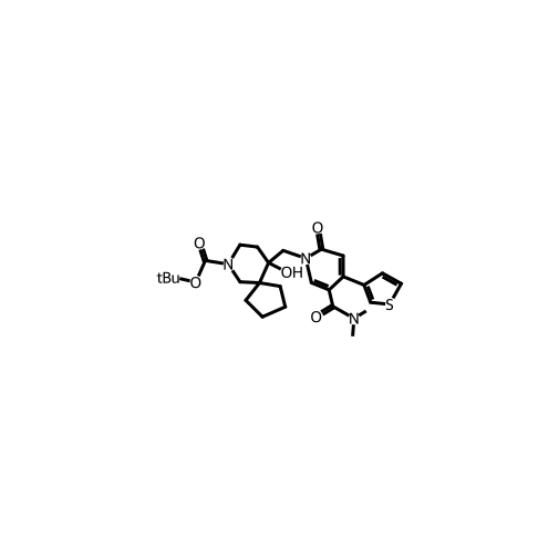 CN(C)C(=O)c1cn(CC2(O)CCN(C(=O)OC(C)(C)C)CC23CCCC3)c(=O)cc1-c1ccsc1